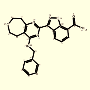 NC(=O)c1cccc2c(-c3nc4c(c(NCc5ccccc5)n3)CCOCC4)noc12